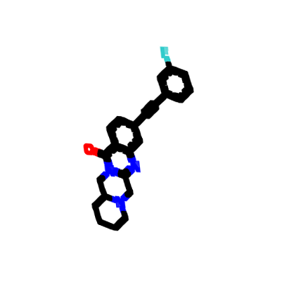 O=c1c2ccc(C#Cc3cccc(F)c3)cc2nc2n1CC1CCCCN1C2